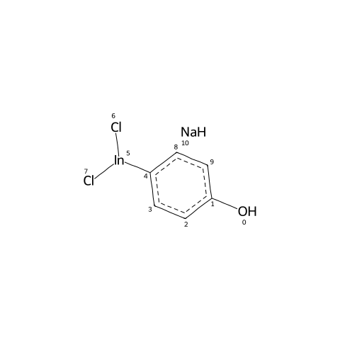 Oc1cc[c]([In]([Cl])[Cl])cc1.[NaH]